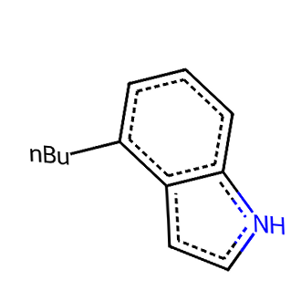 CCCCc1cccc2[nH]ccc12